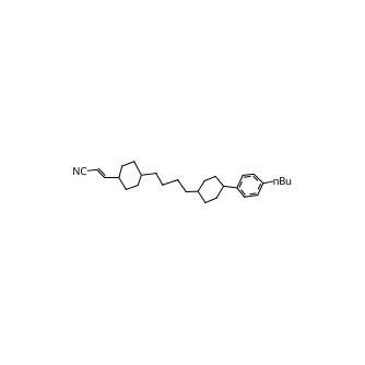 CCCCc1ccc(C2CCC(CCCCC3CCC(C=CC#N)CC3)CC2)cc1